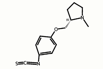 CN1CCC[C@H]1COc1ccc(N=C=S)cc1